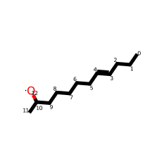 CCC/C=C/CCCCCC(C)[O]